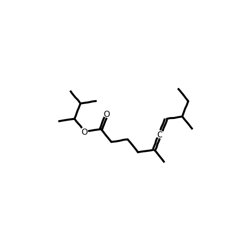 CCC(C)C=C=C(C)CCCC(=O)OC(C)C(C)C